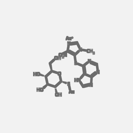 Cn1cnc([N+](=O)[O-])c1Sc1ncnc2nc[nH]c12.OC[C@H]1O[C@H]([S][Au])[C@H](O)[C@@H](O)[C@@H]1O.[Au+]